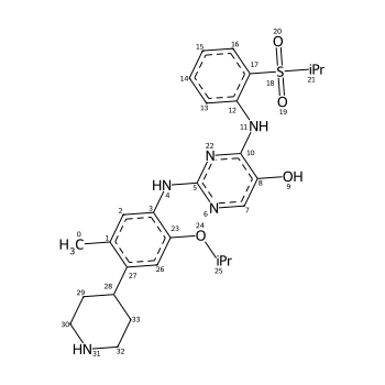 Cc1cc(Nc2ncc(O)c(Nc3ccccc3S(=O)(=O)C(C)C)n2)c(OC(C)C)cc1C1CCNCC1